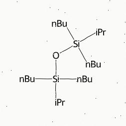 CCCC[Si](CCCC)(O[Si](CCCC)(CCCC)C(C)C)C(C)C